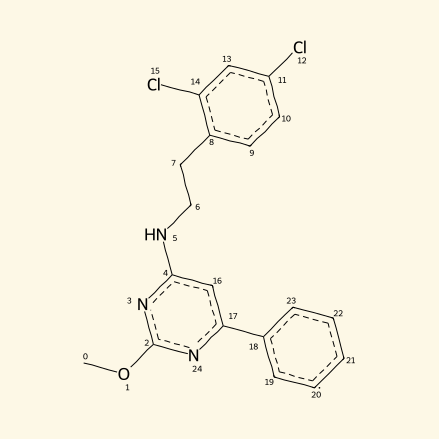 COc1nc(NCCc2ccc(Cl)cc2Cl)cc(-c2c[c]ccc2)n1